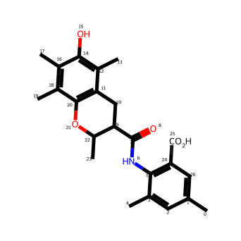 Cc1cc(C)c(NC(=O)C2Cc3c(C)c(O)c(C)c(C)c3OC2C)c(C(=O)O)c1